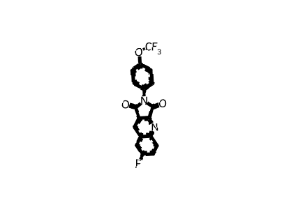 O=C1c2cc3cc(F)ccc3nc2C(=O)N1c1ccc(OC(F)(F)F)cc1